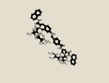 CNC(C)C(=O)NC(C(=O)N1Cc2cc(NCc3ccc(C(=O)N[C@H]4C[C@@H](C(=O)N[C@@H]5CCCc6ccccc65)N(C(=O)C(NC(=O)C(C)NC)C(C)(C)C)C4)cc3)ccc2CC1C(=O)N[C@@H]1CCCc2ccccc21)C(C)(C)C